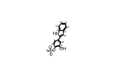 CS(=O)(=O)Oc1ccc(-c2cc3ccccc3[nH]2)cc1O